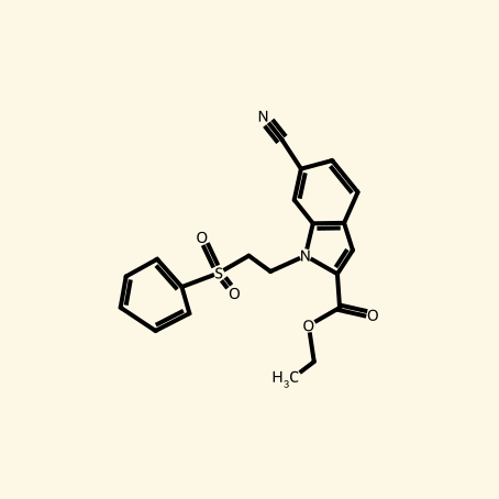 CCOC(=O)c1cc2ccc(C#N)cc2n1CCS(=O)(=O)c1ccccc1